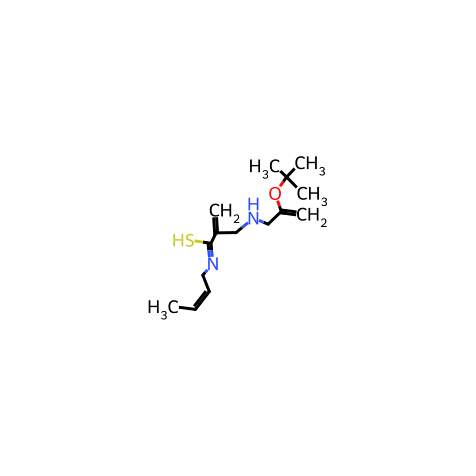 C=C(CNCC(=C)/C(S)=N/C/C=C\C)OC(C)(C)C